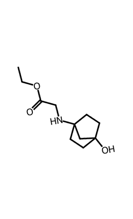 CCOC(=O)CNC12CCC(O)(CC1)C2